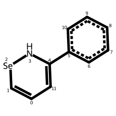 C1=C[Se]NC(c2ccccc2)=C1